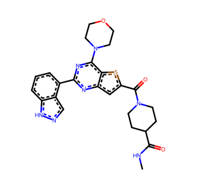 CNC(=O)C1CCN(C(=O)c2cc3nc(-c4cccc5[nH]ncc45)nc(N4CCOCC4)c3s2)CC1